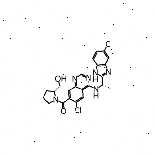 C[C@H](Nc1ncnc2cc(C(=O)N3CCC[C@@H]3CO)c(Cl)cc12)c1nc2cc(Cl)ccc2[nH]1